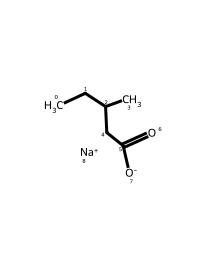 CCC(C)CC(=O)[O-].[Na+]